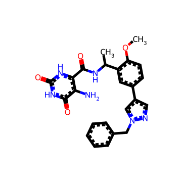 COc1ccc(-c2cnn(Cc3ccccc3)c2)cc1C(C)NC(=O)c1[nH]c(=O)[nH]c(=O)c1N